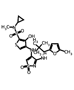 Cc1ccc([C@H](NC2=NS(=O)(=O)C=C2Nc2csc(S(=O)(=O)N(C)C3CC3)c2O)C(C)(C)C)o1